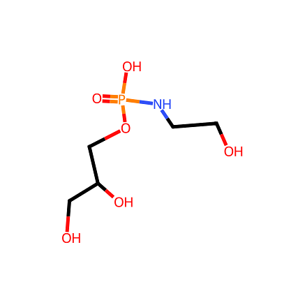 O=P(O)(NCCO)OCC(O)CO